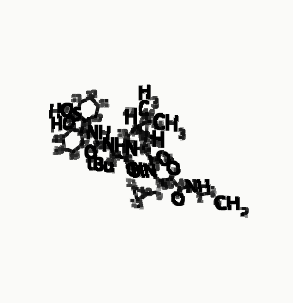 C=CCNC(=O)C(=O)[C@H](CC1CC1)NC(=O)[C@@H]1[C@@H]2[C@H](CN1C(=O)[C@@H](NC(=O)NC1([C@@H]3CCCCS3(O)O)CCCCC1)C(C)(C)C)C2(C)C